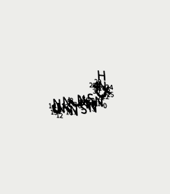 CN(c1nc2sc(-c3cnc(-n4cccn4)cn3)nc2s1)C1CC(C)(C)NC(C)(C)C1